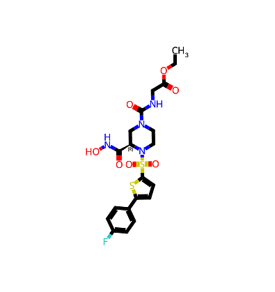 CCOC(=O)CNC(=O)N1CCN(S(=O)(=O)c2ccc(-c3ccc(F)cc3)s2)[C@@H](C(=O)NO)C1